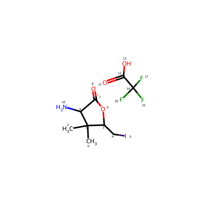 CC1(C)C(CI)OC(=O)C1N.O=C(O)C(F)(F)F